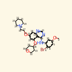 COc1ccc(Br)c(Nc2ncnc3cc(OCCN4CCCCC4)cc(OC4CCOCC4)c23)c1